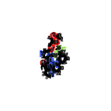 CC1(C)OCC(COc2cncc(NC(=O)N3c4nc(-c5cccc(C(F)(F)F)c5)ccc4N4CC[C@H]3C4)n2)O1